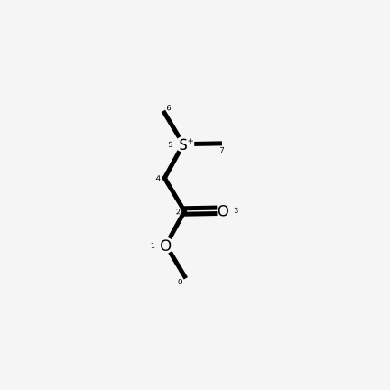 COC(=O)C[S+](C)C